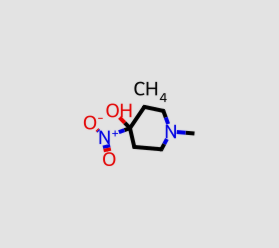 C.CN1CCC(O)([N+](=O)[O-])CC1